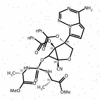 CCCC(=O)O[C@]12C(OP(=O)(N[C@@H](C)C(=O)OC)N[C@@H](C)C(=O)OC)[C@@]1(C#N)OC[C@]2(OC(=O)CCC)c1ccc2c(N)ncnn12